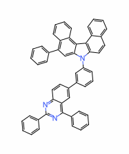 c1ccc(-c2nc(-c3ccccc3)c3cc(-c4cccc(-n5c6ccc7ccccc7c6c6c7ccccc7c(-c7ccccc7)cc65)c4)ccc3n2)cc1